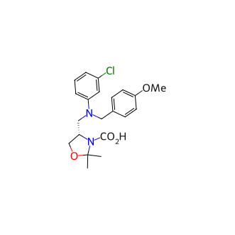 COc1ccc(CN(C[C@H]2COC(C)(C)N2C(=O)O)c2cccc(Cl)c2)cc1